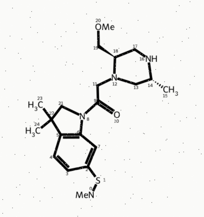 CNSc1ccc2c(c1)N(C(=O)CN1C[C@@H](C)NC[C@@H]1COC)CC2(C)C